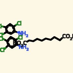 Nc1cc(Cl)c(Cl)cc1Cl.Nc1cc(Cl)c(Cl)cc1Cl.O=C(O)CCCCCCCCC(=O)O